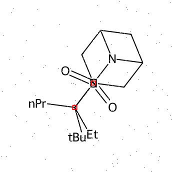 CCCC(CC)N1CC2CC(C1)N2S(=O)(=O)CC(C)(C)C